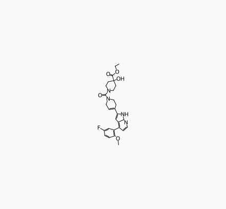 CCOC(=O)C1(O)CCN(C(=O)N2CC=C(c3cc4c(-c5cc(F)ccc5OC)ccnc4[nH]3)CC2)CC1